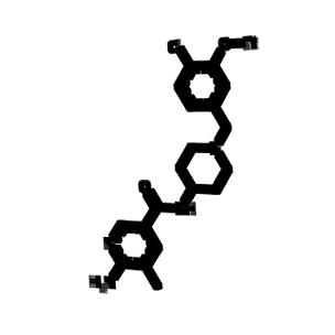 CCOc1cc(CN2CCC(NC(=O)c3cnc(N)c(C)c3)CC2)ccc1Cl